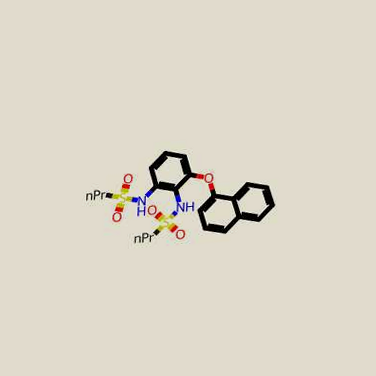 CCCS(=O)(=O)Nc1cccc(Oc2cccc3ccccc23)c1NS(=O)(=O)CCC